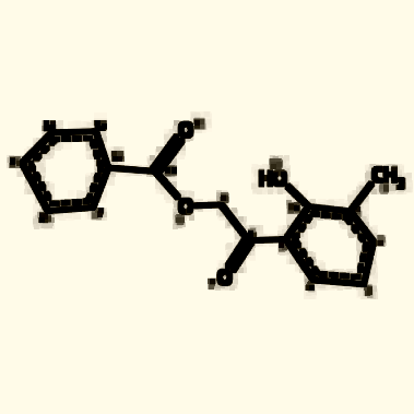 Cc1cccc(C(=O)COC(=O)c2ccccc2)c1O